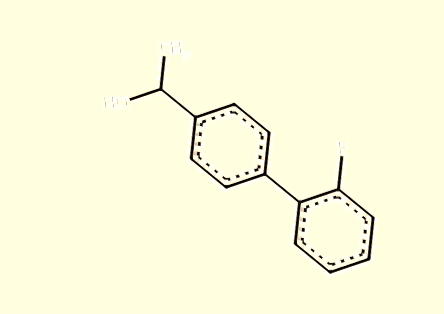 CC(O)c1ccc(-c2ccccc2F)cc1